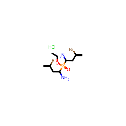 C=C(Br)CC(N)P(=O)(OCC)C(N)CC(=C)Br.Cl